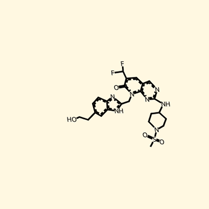 CS(=O)(=O)N1CCC(Nc2ncc3cc(C(F)F)c(=O)n(Cc4nc5ccc(CCO)cc5[nH]4)c3n2)CC1